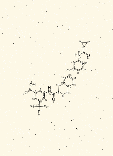 O=C(O)c1cc(NC(=O)C2CCc3ccc(Cc4ccnc(NC(=O)C5CC5)c4)cc3C2)cc(C(F)(F)F)c1